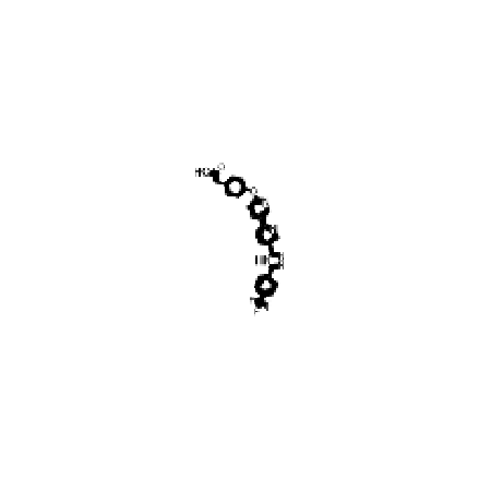 O=C(O)C[C@H]1CC[C@@H](Oc2ccc(-c3ccc(-c4nnc(-c5ccc(C(F)(F)F)cc5)[nH]4)cn3)cn2)CC1